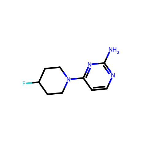 Nc1nccc(N2CCC(F)CC2)n1